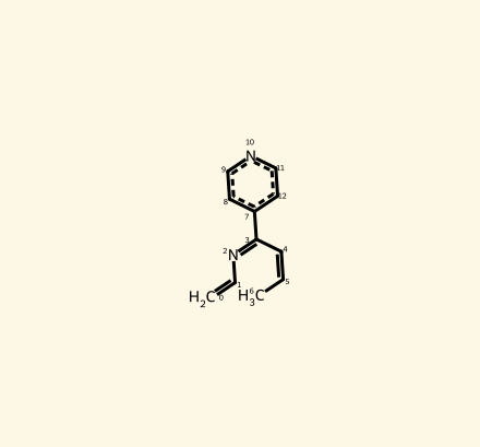 C=C/N=C(\C=C/C)c1ccncc1